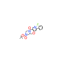 CC(C)(C)OC(=O)N1CCN2C(=O)c3cnc(-c4ccccc4F)cc3OCC2C1